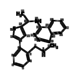 CNCc1ccccc1-c1csc(C(C)Nc2nncc3ccccc23)c1